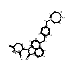 O=C1CCC(N2C(=O)c3cccc4c(Cc5ccc(CN6CCCOCC6)cc5)ccc2c34)C(=O)N1